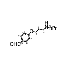 CCCNCCCOc1ccc(C=O)cc1